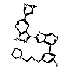 Fc1cc(OCCN2CCCC2)cc(-c2cncc3[nH]c(-c4n[nH]c5ncc(-c6cn[nH]c6)cc45)cc23)c1